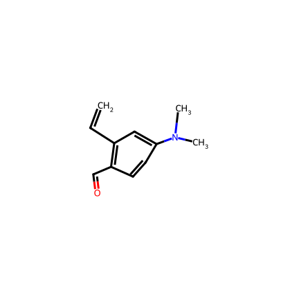 C=Cc1cc(N(C)C)ccc1C=O